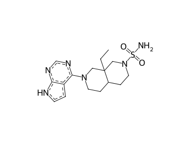 CCC12CN(c3ncnc4[nH]ccc34)CCC1CCN(S(N)(=O)=O)C2